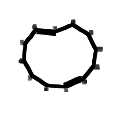 C1=C\CCCC/C=C/CCCC/1